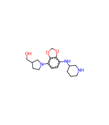 OCC1CCN(c2ccc(NC3CCCNC3)c3c2OCO3)C1